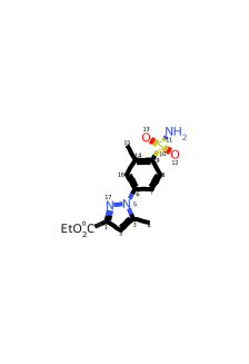 CCOC(=O)c1cc(C)n(-c2ccc(S(N)(=O)=O)c(C)c2)n1